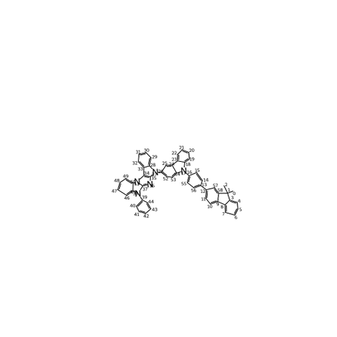 CC1(C)c2ccccc2-c2ccc(-c3ccc(-n4c5ccccc5c5cc(-n6c7ccccc7c7c6nc6n(-c8ccccc8)c8ccccc8n76)ccc54)cc3)cc21